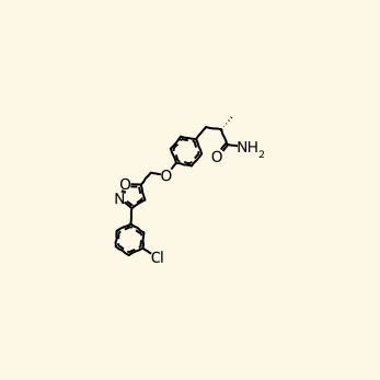 C[C@@H](Cc1ccc(OCc2cc(-c3cccc(Cl)c3)no2)cc1)C(N)=O